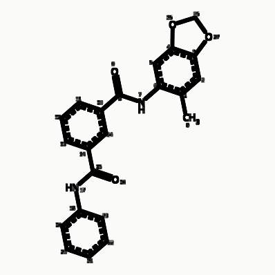 Cc1cc2c(cc1NC(=O)c1cccc(C(=O)Nc3ccccc3)c1)OCO2